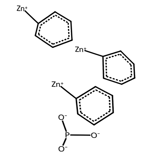 [O-]P([O-])[O-].[Zn+][c]1ccccc1.[Zn+][c]1ccccc1.[Zn+][c]1ccccc1